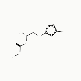 CCOC(=O)c1csc(OC[C@H](C)NC(=O)OC(C)(C)C)c1